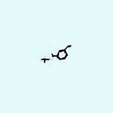 C=Cc1cccc(C(C)NC(C)(N)N)c1